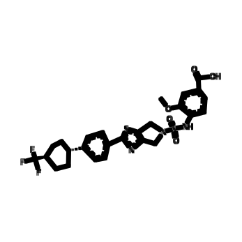 COc1cc(C(=O)O)ccc1NS(=O)(=O)N1Cc2nc(-c3ccc([C@H]4CC[C@H](C(F)(F)F)CC4)cc3)sc2C1